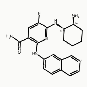 NC(=O)c1cc(F)c(N[C@@H]2CCCC[C@@H]2N)nc1Nc1ccc2ccncc2c1